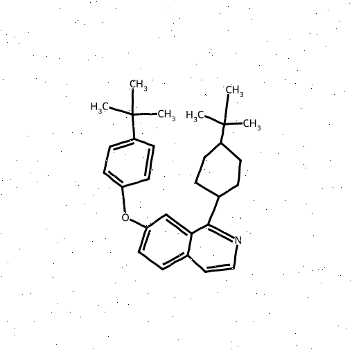 CC(C)(C)c1ccc(Oc2ccc3ccnc(C4CCC(C(C)(C)C)CC4)c3c2)cc1